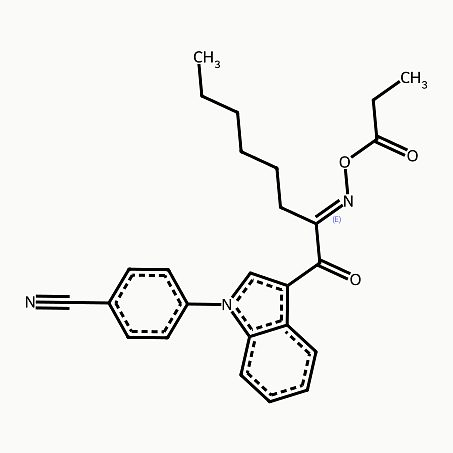 CCCCCC/C(=N\OC(=O)CC)C(=O)c1cn(-c2ccc(C#N)cc2)c2ccccc12